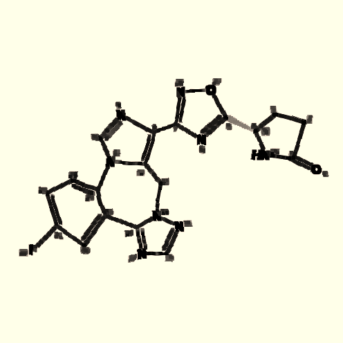 O=C1CC[C@@H](c2nc(-c3ncn4c3Cn3ncnc3-c3cc(F)ccc3-4)no2)N1